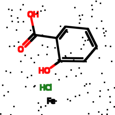 Cl.O=C(O)c1ccccc1O.[Fe]